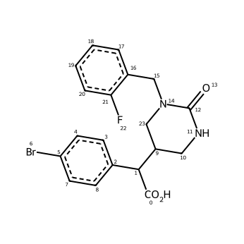 O=C(O)C(c1ccc(Br)cc1)C1CNC(=O)N(Cc2ccccc2F)C1